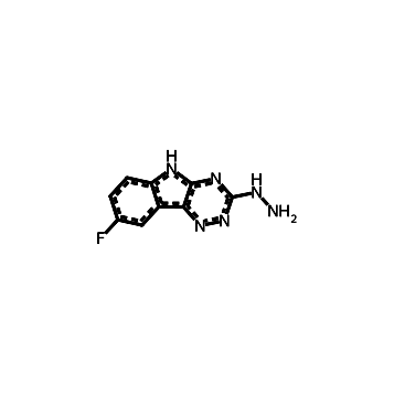 NNc1nnc2c(n1)[nH]c1ccc(F)cc12